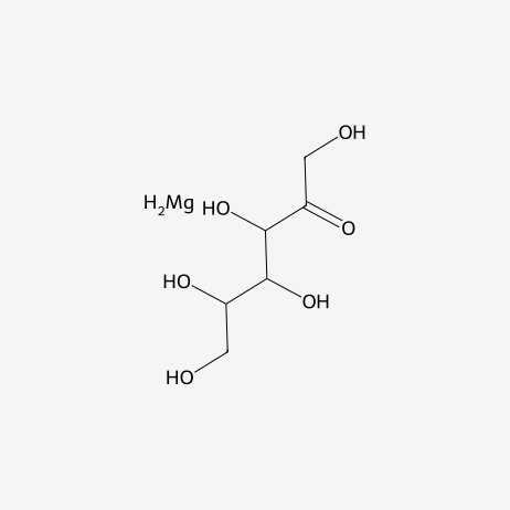 O=C(CO)C(O)C(O)C(O)CO.[MgH2]